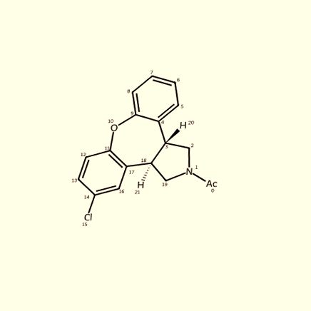 CC(=O)N1C[C@H]2c3ccccc3Oc3ccc(Cl)cc3[C@@H]2C1